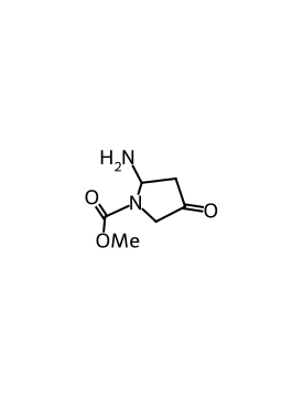 COC(=O)N1CC(=O)CC1N